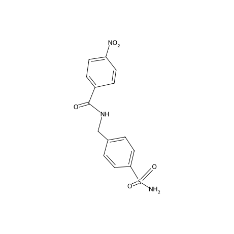 NS(=O)(=O)c1ccc(CNC(=O)c2ccc([N+](=O)[O-])cc2)cc1